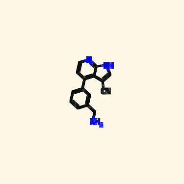 N#Cc1c[nH]c2nccc(-c3cccc(CN)c3)c12